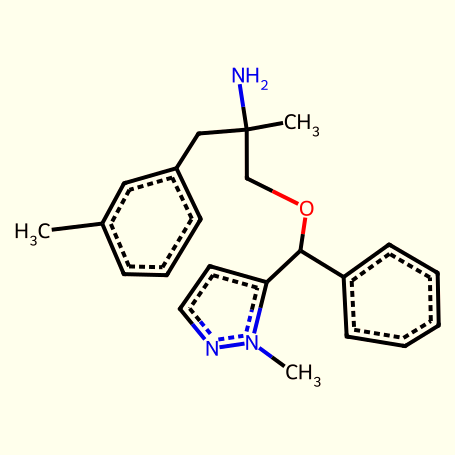 Cc1cccc(CC(C)(N)COC(c2ccccc2)c2ccnn2C)c1